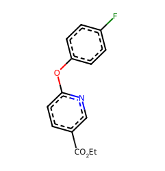 CCOC(=O)c1ccc(Oc2ccc(F)cc2)nc1